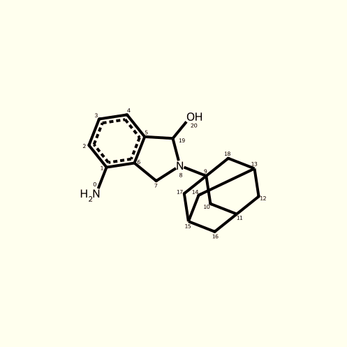 Nc1cccc2c1CN(C13CC4CC(CC(C4)C1)C3)C2O